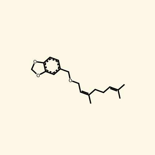 CC(C)=CCCC(C)=CCOCc1ccc2c(c1)OCO2